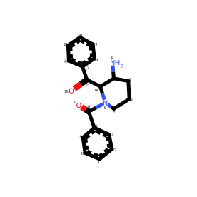 NC1CCCN(C(=O)c2ccccc2)C1C(=O)c1ccccc1